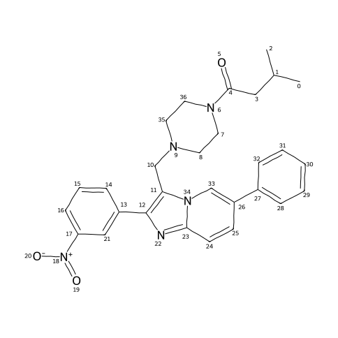 CC(C)CC(=O)N1CCN(Cc2c(-c3cccc([N+](=O)[O-])c3)nc3ccc(-c4ccccc4)cn23)CC1